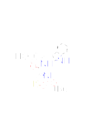 CC(C)(C)OC(=O)N[C@@H](CS)C(=O)N[C@@H](Cc1c[nH]c2ccccc12)C(=O)O